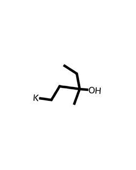 CCC(C)(O)C[CH2][K]